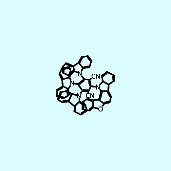 N#Cc1c(N2c3c(ccc4oc5ccccc5c34)C3C=CC=CC32)c(C#N)c(-n2c3ccccc3c3ccccc32)c(-n2c3ccccc3c3ccccc32)c1-n1c2ccccc2c2ccccc21